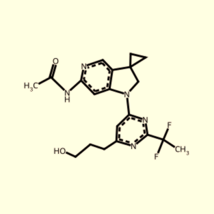 CC(=O)Nc1cc2c(cn1)C1(CC1)CN2c1cc(CCCO)nc(C(C)(F)F)n1